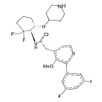 COc1c(CC(=O)N[C@@H]2[C@@H](OC3CCNCC3)CCCC2(F)F)ccnc1-c1cc(F)cc(F)c1